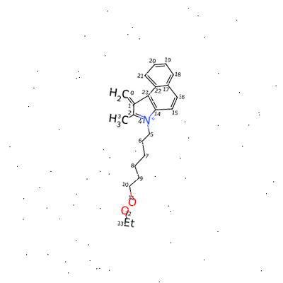 C=C1C(C)=[N+](CCCCCCOOCC)c2ccc3ccccc3c21